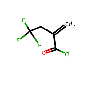 C=C(CC(F)(F)F)C(=O)Cl